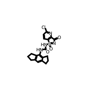 O=C(Nc1c2c(cc3c1CCC3)CCC2)NS1(=O)=NC(=O)c2nc(Cl)ccc21